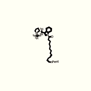 [2H]C([2H])(c1cn(C(=O)CCCCCCC/C=C\C/C=C\CCCCC)c2ccccc12)[C@H]1CCCN1C([2H])([2H])[2H]